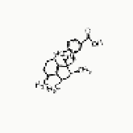 C=C1CCCC2=C1[C@H](C)C[C@H](C)[C@@]2(C)Cc1cc(C(=O)O)ccc1O